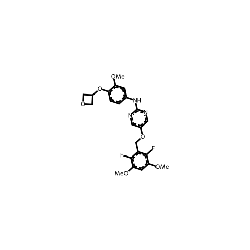 COc1cc(Nc2ncc(OCc3c(F)c(OC)cc(OC)c3F)cn2)ccc1OC1COC1